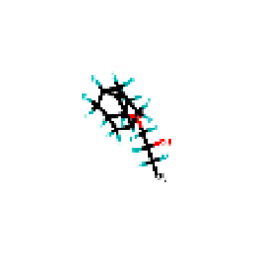 OC(F)(C(F)(F)OC1(F)C2(F)C(F)(F)C3(F)C(F)(F)C(F)(C2(F)F)C(F)(F)C1(F)C3(F)F)C(F)(F)C(F)(F)F